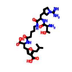 CC(C)Cc1oc(CC(NC(=O)CCCCNC(=O)C(CC2=CCN(C(=N)N)C2)NC(=O)C(N)C(C)O)C(=O)O)cc1C(=O)O